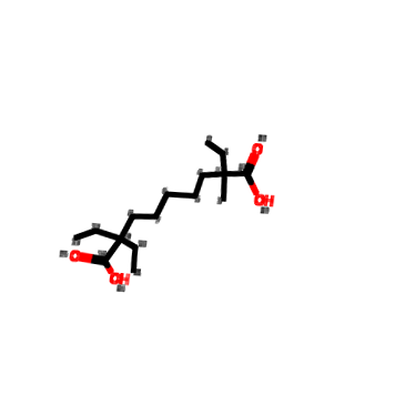 CCC(C)(CCCCCC(CC)(CC)C(=O)O)C(=O)O